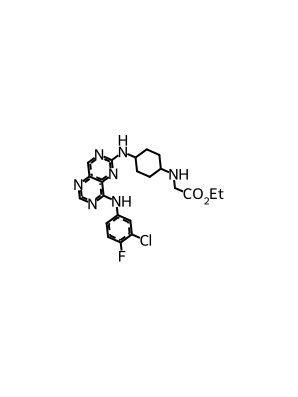 CCOC(=O)CNC1CCC(Nc2ncc3ncnc(Nc4ccc(F)c(Cl)c4)c3n2)CC1